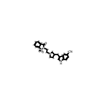 N#Cc1ccc2[nH]cc(CC3CCN(CCN4C(=O)c5ccccc5S4(=O)=O)C3)c2c1